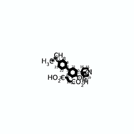 CN(C)c1ccc(-c2ccc(O[C@H]3CN4CCC3CC4)cc2)cc1.O=C(O)C=CC(=O)O